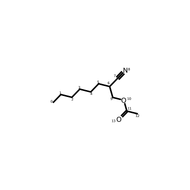 CCCCCCC(C#N)COC(C)=O